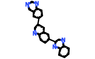 c1ccc2nc(-c3ccc4ncc(-c5ccc6ncncc6c5)cc4c3)cnc2c1